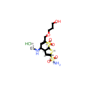 CCNC1C=C(COCCCO)S(=O)(=O)C2SC(S(N)(=O)=O)=CC12.Cl